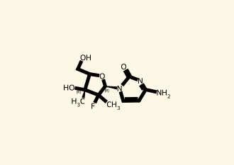 CC1(F)[C@H](n2ccc(N)nc2=O)OC(CO)[C@@]1(C)O